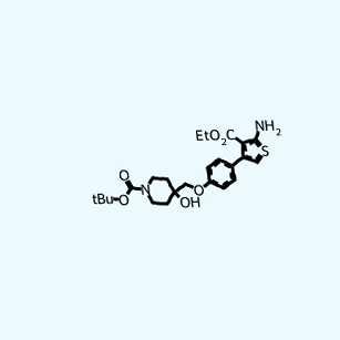 CCOC(=O)c1c(-c2ccc(OCC3(O)CCN(C(=O)OC(C)(C)C)CC3)cc2)csc1N